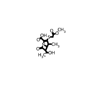 COC(=O)CSC1=C(C(=O)O)N2C(=O)C([C@@H](C)O)C2C1C